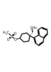 CC(=O)OC[C@]1(c2cccc3ccccc32)CC[C@@H](OS(C)(=O)=O)CC1